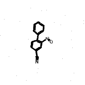 N#Cc1ccc(-c2ccccc2)c(N=O)c1